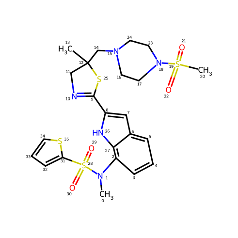 CN(c1cccc2cc(C3=NCC(C)(CN4CCN(S(C)(=O)=O)CC4)S3)[nH]c12)S(=O)(=O)c1cccs1